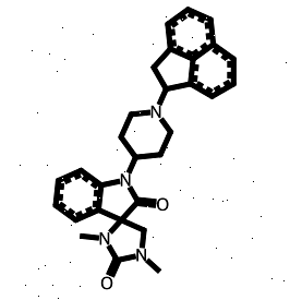 CN1CC2(C(=O)N(C3CCN(C4Cc5cccc6cccc4c56)CC3)c3ccccc32)N(C)C1=O